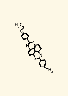 CCOc1ccc(C2=Nc3ccc4c5c(ccc(c35)S2)N=C(c2ccc(C)cc2)S4)cc1